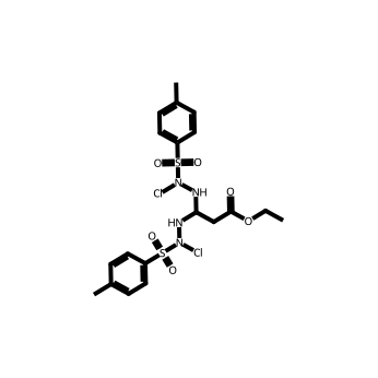 CCOC(=O)CC(NN(Cl)S(=O)(=O)c1ccc(C)cc1)NN(Cl)S(=O)(=O)c1ccc(C)cc1